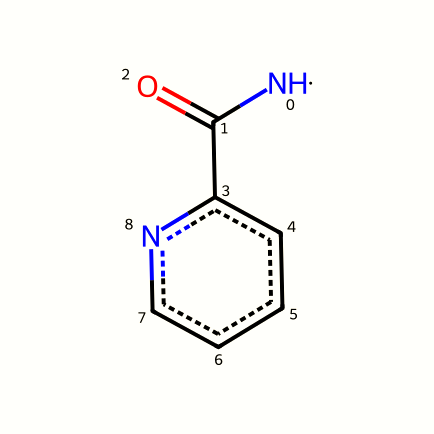 [NH]C(=O)c1ccccn1